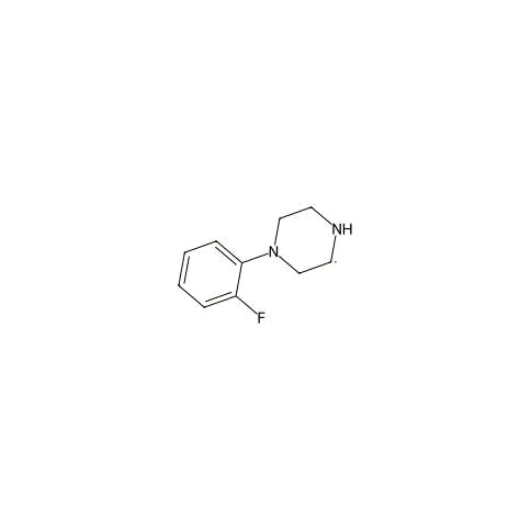 Fc1ccccc1N1C[CH]NCC1